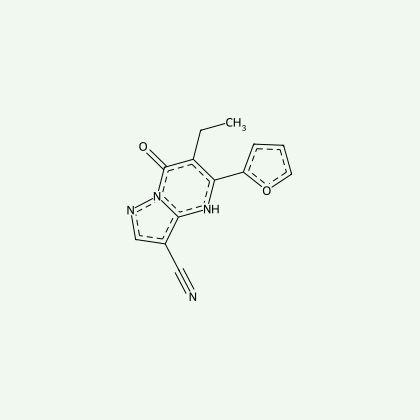 CCc1c(-c2ccco2)[nH]c2c(C#N)cnn2c1=O